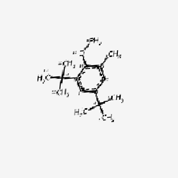 Cc1cc(C(C)(C)C)cc(C(C)(C)C)c1OP